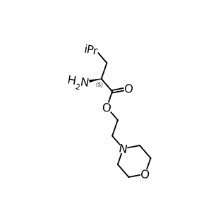 CC(C)C[C@H](N)C(=O)OCCN1CCOCC1